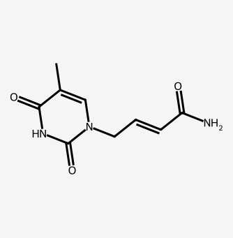 Cc1cn(CC=CC(N)=O)c(=O)[nH]c1=O